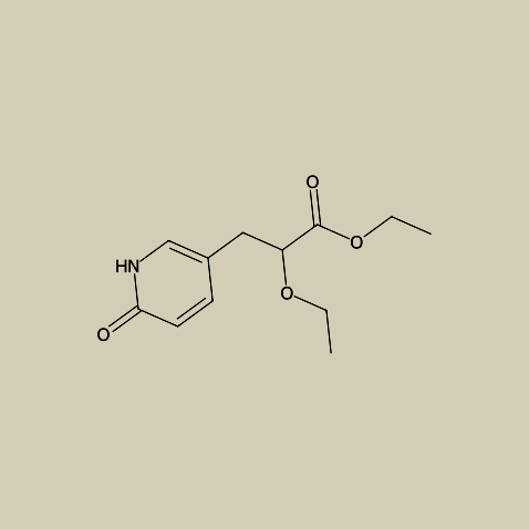 CCOC(=O)C(Cc1ccc(=O)[nH]c1)OCC